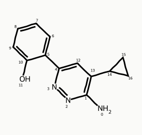 Nc1nnc(-c2ccccc2O)cc1C1CC1